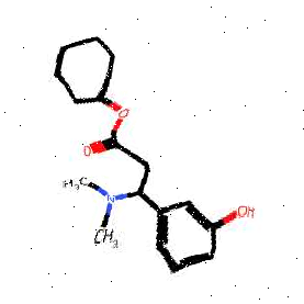 CN(C)C(CC(=O)OC1CCCCC1)c1cccc(O)c1